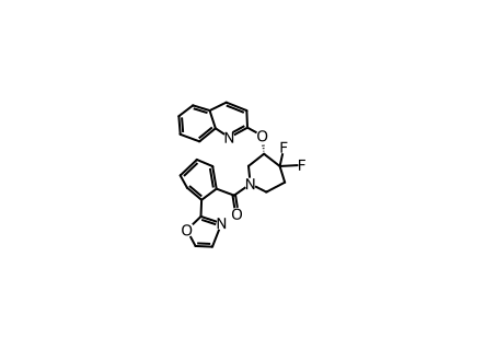 O=C(c1ccccc1-c1ncco1)N1CCC(F)(F)[C@@H](Oc2ccc3ccccc3n2)C1